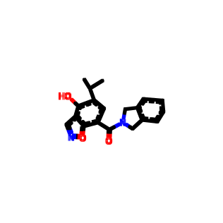 CC(C)c1cc(C(=O)N2Cc3ccccc3C2)c2oncc2c1O